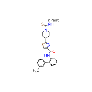 CCCCCNC(=S)N1CCC(c2nc(C(=O)Nc3ccccc3-c3cccc(C(F)(F)F)c3)cs2)CC1